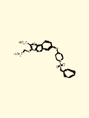 O=C(O)COc1c(C(=O)O)sc2c1sc1cc(NC3CCN(S(=O)(=O)Cc4ccccc4)CC3)ccc12